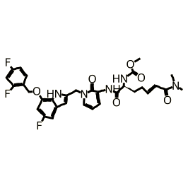 COC(=O)N[C@@H](CC/C=C/C(=O)N(C)C)C(=O)Nc1cccn(Cc2cc3cc(F)cc(OCc4ccc(F)cc4F)c3[nH]2)c1=O